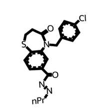 CCCN=NC(=O)c1ccc2c(c1)N(Cc1ccc(Cl)cc1)C(=O)CCS2